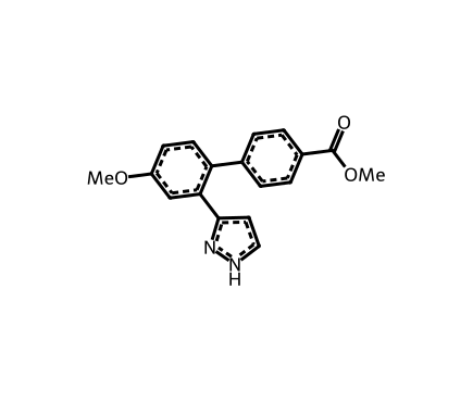 COC(=O)c1ccc(-c2ccc(OC)cc2-c2cc[nH]n2)cc1